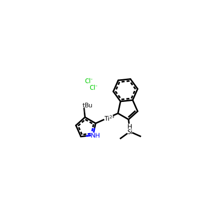 C[SiH](C)C1=Cc2ccccc2[CH]1[Ti+2][c]1[nH]ccc1C(C)(C)C.[Cl-].[Cl-]